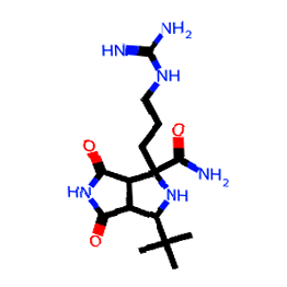 CC(C)(C)C1NC(CCCNC(=N)N)(C(N)=O)C2C(=O)NC(=O)C12